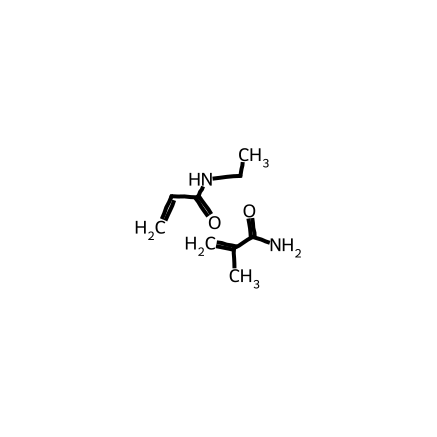 C=C(C)C(N)=O.C=CC(=O)NCC